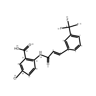 O=C(/C=C/c1cccc(C(F)(F)F)c1)Nc1ccc(Cl)cc1C(=O)O